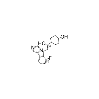 OC1CCC([C@@H](O)Cc2c3c(c4cncn24)=CC=C[C@@H]3F)CC1